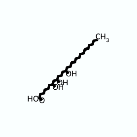 CCCCC/C=C/CCCC/C=C/CCC(O)CCCC(O)CC(O)CCCCCC(=O)O